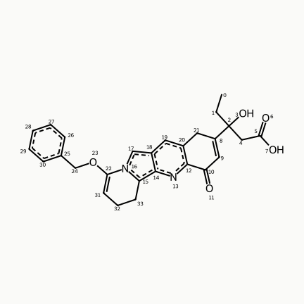 CCC(O)(CC(=O)O)C1=CC(=O)c2nc3c4n(cc3cc2C1)C(OCc1ccccc1)=CCC4